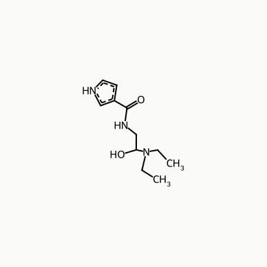 CCN(CC)C(O)CNC(=O)c1cc[nH]c1